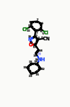 N#Cc1c(-c2c(Cl)cccc2Cl)noc1/C=C/Nc1ccccc1